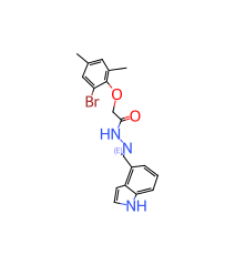 Cc1cc(C)c(OCC(=O)N/N=C/c2cccc3[nH]ccc23)c(Br)c1